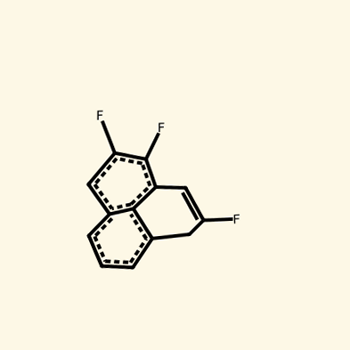 FC1=Cc2c(F)c(F)cc3cccc(c23)C1